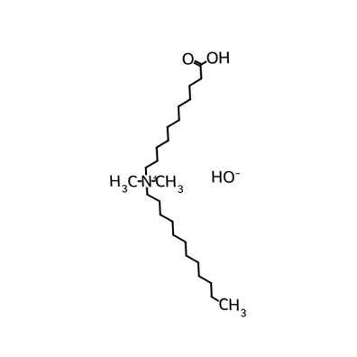 CCCCCCCCCCCC[N+](C)(C)CCCCCCCCCCC(=O)O.[OH-]